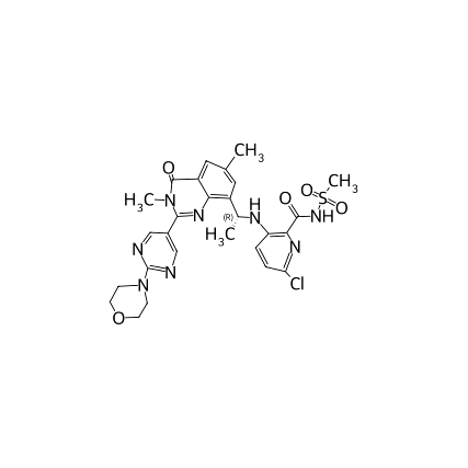 Cc1cc([C@@H](C)Nc2ccc(Cl)nc2C(=O)NS(C)(=O)=O)c2nc(-c3cnc(N4CCOCC4)nc3)n(C)c(=O)c2c1